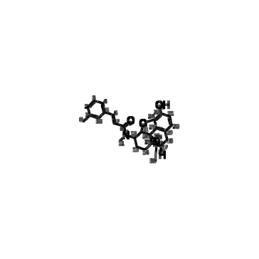 Cc1cccc(/C=C/C(=O)N(C)C2CC[C@@]3(C)[C@H]4Cc5ccc(O)c6c5[C@@]3(CCN4C)C2O6)c1